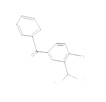 CC(O)c1cc(C(=O)c2ccccc2)ccc1[N+](=O)[O-]